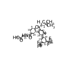 CC(C)(C)CCC(Oc1ccc(C(=O)NCCC(=O)O)cc1)c1ccc(-c2cc(C(F)(F)F)cc(C(F)(F)F)c2)nc1